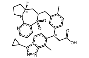 Cc1ccc([C@@H](CC(=O)O)c2ccn3c(C4CC4)nnc3c2C)cc1CN1C[C@H]2CCCN2c2ncccc2S1(=O)=O